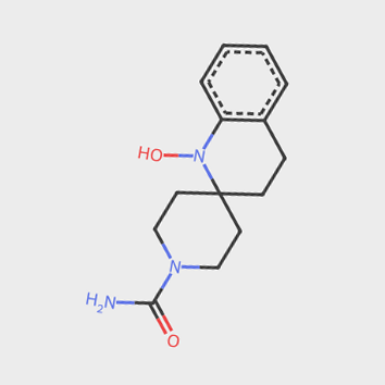 NC(=O)N1CCC2(CCc3ccccc3N2O)CC1